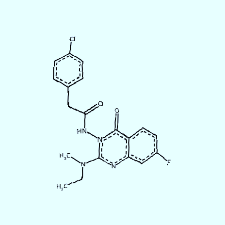 CCN(C)c1nc2cc(F)ccc2c(=O)n1NC(=O)Cc1ccc(Cl)cc1